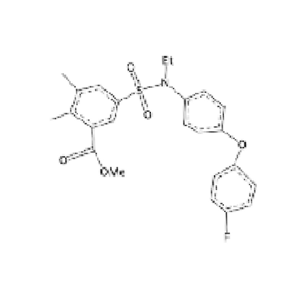 CCN(c1ccc(Oc2ccc(F)cc2)cc1)S(=O)(=O)c1cc(C)c(C)c(C(=O)OC)c1